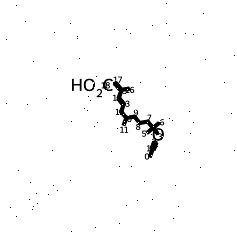 CC#COC(C)(C)CCCC(C)CC=CC(C)=CC(=O)O